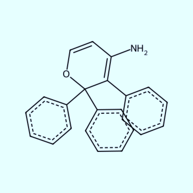 NC1=C(c2ccccc2)C(c2ccccc2)(c2ccccc2)OC=C1